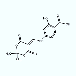 CC1(C)OC(=O)C(=CNc2ccc(C(=O)O)c(O)c2)C(=O)O1